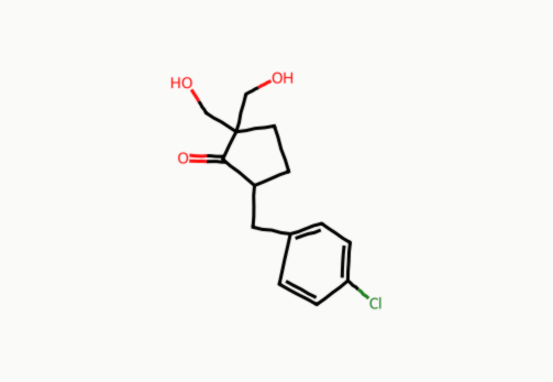 O=C1C(Cc2ccc(Cl)cc2)CCC1(CO)CO